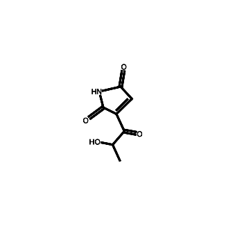 CC(O)C(=O)C1=CC(=O)NC1=O